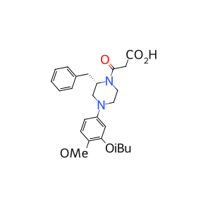 COc1ccc(N2CCN(C(=O)CC(=O)O)[C@@H](Cc3ccccc3)C2)cc1OCC(C)C